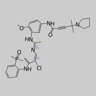 C=C(Nc1ccccc1P(C)(C)=O)/C(Cl)=C\N=C(/C)Nc1cc(NC(=O)C#CC(C)(C)N2CCCC2)ccc1OC